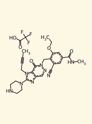 CC#CCn1c(N2CCNCC2)nc2cnn(Cc3c(C#N)cc(C(=O)NC)cc3OCC)c(=O)c21.O=C(O)C(F)(F)F